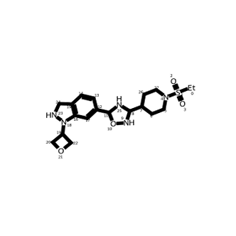 CCS(=O)(=O)N1CCC(C2NOC(c3ccc4c(c3)N(C3COC3)NC4)N2)CC1